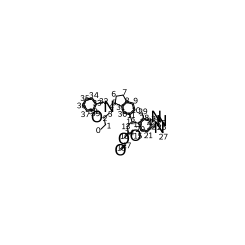 CC[C@@H]1CN(C2CCc3ccc(C(CC(=O)OC=O)c4ccc5c(nnn5C)c4C)cc32)Cc2ccccc2O1